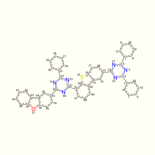 c1ccc(-c2nc(-c3ccccc3)nc(-c3ccc4sc5c(-c6nc(-c7ccccc7)nc(-c7ccc8oc9ccccc9c8c7)n6)cccc5c4c3)n2)cc1